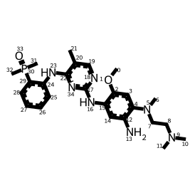 COc1cc(N(C)CCN(C)C)c(N)cc1Nc1ncc(C)c(Nc2ccccc2P(C)(C)=O)n1